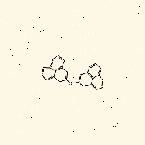 C1=C(OC2=Cc3cccc4cccc(c34)C2)Cc2cccc3cccc1c23